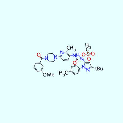 COc1cccc(C(=O)N2CCN(c3ccc(NC(=O)N(OS(C)(=O)=O)c4cc(C(C)(C)C)nn4-c4ccc(C)cc4)c(C)n3)CC2)c1